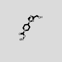 CC(C)(C)OC(=O)N1CCC(n2cnc(CO)n2)CC1